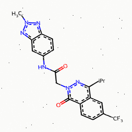 CC(C)c1nn(CC(=O)Nc2ccc3nn(C)nc3c2)c(=O)c2ccc(C(F)(F)F)cc12